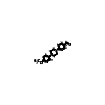 COc1ccc(N2CCN(c3ncc(C=O)cn3)CC2)cn1